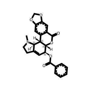 CN1CCC2=C[C@H](OC(=O)c3ccccc3)[C@H]3OC(=O)c4cc5c(cc4[C@H]3[C@@H]21)OCO5